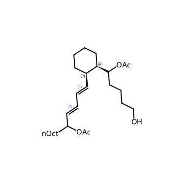 CCCCCCCCC(/C=C/C=C/[C@H]1CCCC[C@H]1C(CCCCO)OC(C)=O)OC(C)=O